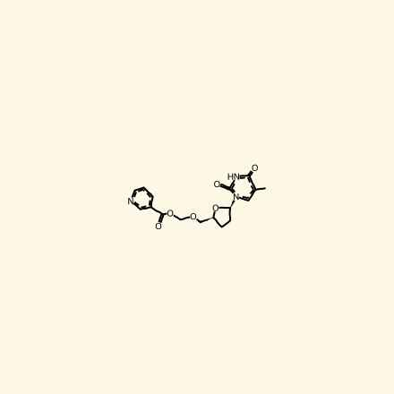 Cc1cn([C@H]2CC[C@@H](COCOC(=O)c3cccnc3)O2)c(=O)[nH]c1=O